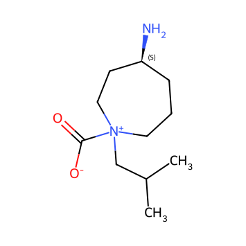 CC(C)C[N+]1(C(=O)[O-])CCC[C@H](N)CC1